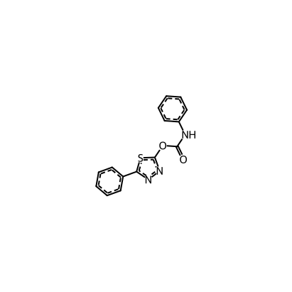 O=C(Nc1ccccc1)Oc1nnc(-c2ccccc2)s1